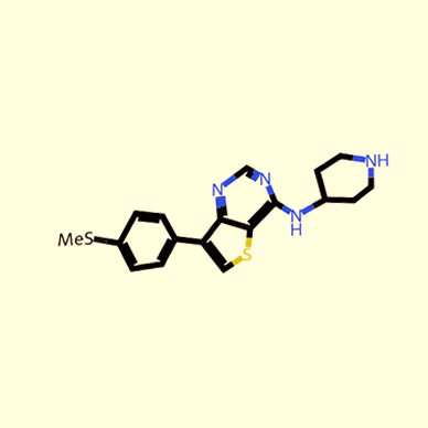 CSc1ccc(-c2csc3c(NC4CCNCC4)ncnc23)cc1